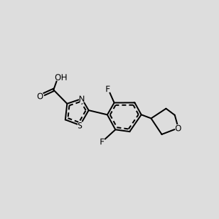 O=C(O)c1csc(-c2c(F)cc(C3CCOC3)cc2F)n1